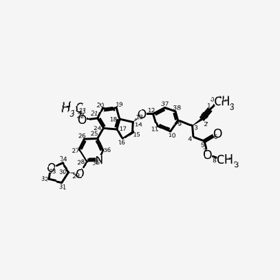 CC#C[C@@H](CC(=O)OC)c1ccc(O[C@@H]2CCc3c2ccc(OC)c3-c2ccc(O[C@@H]3CCOC3)nc2)cc1